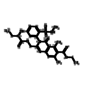 CCOC(=O)c1c(C)cc2nc(COC(=O)N(O)CC)n(-c3ccccc3S(=O)(=O)NC)c(=O)c2c1C